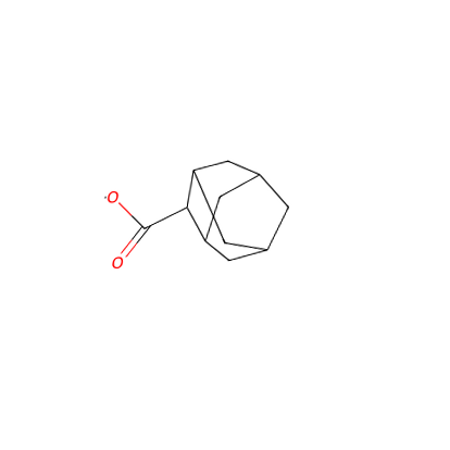 [O]C(=O)C1C2CC3CC(C2)CC1C3